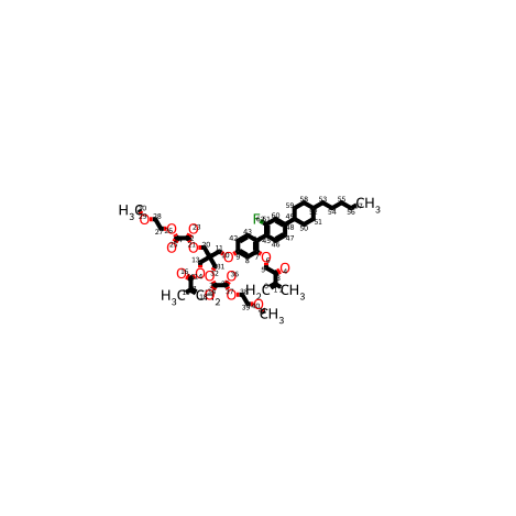 C=C(C)C(=O)COc1cc(OCC(COC(=O)C(=C)C)(COC(=O)C(=O)OCCOC)COC(=O)C(=O)OCCOC)ccc1-c1ccc(C2CCC(CCCCC)CC2)cc1F